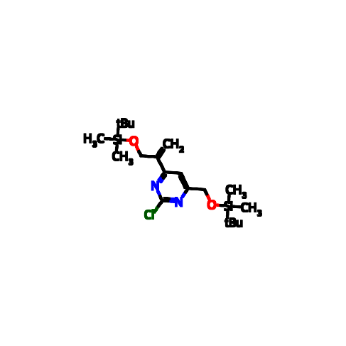 C=C(CO[Si](C)(C)C(C)(C)C)c1cc(CO[Si](C)(C)C(C)(C)C)nc(Cl)n1